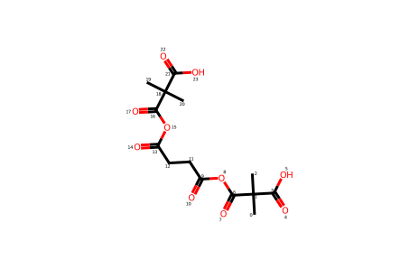 CC(C)(C(=O)O)C(=O)OC(=O)CCC(=O)OC(=O)C(C)(C)C(=O)O